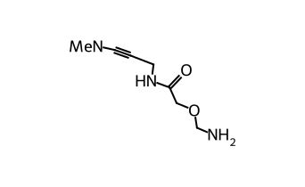 CNC#CCNC(=O)COCN